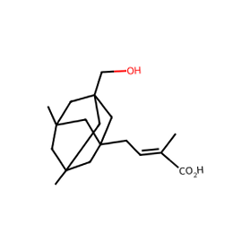 CC(=CCC12CC3(C)CC(C)(CC(CO)(C3)C1)C2)C(=O)O